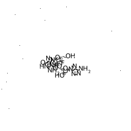 Nc1nc2c(ncn2[C@@H]2O[C@H](CCO)[C@@H](F)[C@H]2[P@](=O)(S)OC[C@H]2O[C@@H](n3cnc4c(N)ncnc43)C[C@@H]2O)c(=O)[nH]1